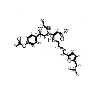 CC(=O)Oc1ccc(C(CN/C(=C/[N+](=O)[O-])NCCSCc2ccc(CN(C)C)o2)OC(C)=O)cc1